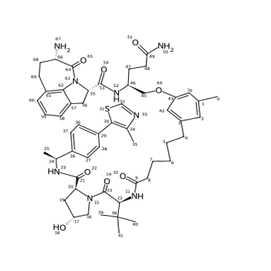 Cc1cc(CCCCCC(=O)N[C@H](C(=O)N2C[C@H](O)C[C@H]2C(=O)N[C@@H](C)c2ccc(-c3scnc3C)cc2)C(C)(C)C)cc(OC[C@H](CCC(N)=O)NC(=O)[C@@H]2Cc3cccc4c3N2C(=O)[C@@H](N)CC4)c1